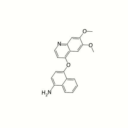 COc1cc2nccc(Oc3ccc(N)c4ccccc34)c2cc1OC